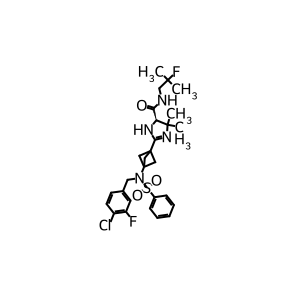 CC(C)(F)CNC(=O)[C@@H]1NC(C23CC(N(Cc4ccc(Cl)c(F)c4)S(=O)(=O)c4ccccc4)(C2)C3)=NC1(C)C